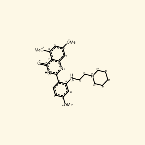 COc1ccc(-c2nc3cc(OC)cc(OC)c3c(=O)[nH]2)c(NCCN2CCCCC2)c1